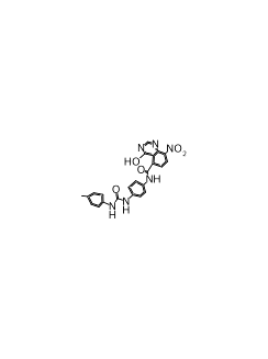 Cc1ccc(NC(=O)Nc2ccc(NC(=O)c3ccc([N+](=O)[O-])c4ncnc(O)c34)cc2)cc1